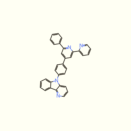 c1ccc(-c2cc(-c3ccc(-n4c5ccccc5c5ncccc54)cc3)cc(-c3ccccn3)n2)cc1